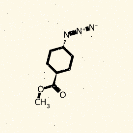 COC(=O)[C@H]1CC[C@H](N=[N+]=[N-])CC1